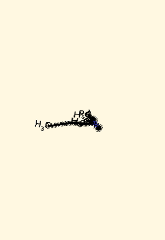 CCCCCCCCCCCCCCCCCCCCCCCCCCCCC(/C=N/c1ccccc1)=N\c1ccc(CCC)c(CCC)c1.[Pd]